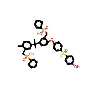 Cc1ccc(C(C)(C)c2ccc(Oc3ccc(S(=O)(=O)c4ccc(O)cc4)cc3)c(CP(=O)(O)c3ccccc3)c2)cc1CP(=O)(O)c1ccccc1